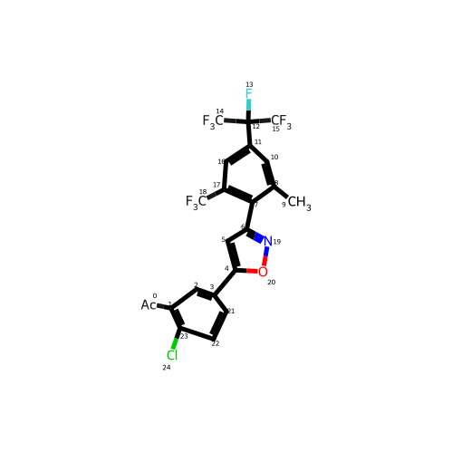 CC(=O)c1cc(-c2cc(-c3c(C)cc(C(F)(C(F)(F)F)C(F)(F)F)cc3C(F)(F)F)no2)ccc1Cl